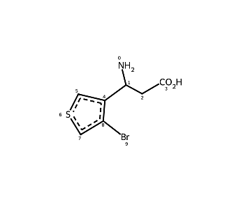 NC(CC(=O)O)c1cscc1Br